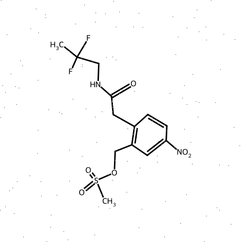 CC(F)(F)CNC(=O)Cc1ccc([N+](=O)[O-])cc1COS(C)(=O)=O